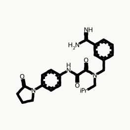 CC(C)CN(Cc1cccc(C(=N)N)c1)C(=O)C(=O)Nc1ccc(N2CCCC2=O)cc1